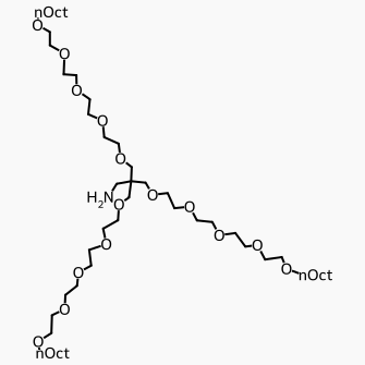 CCCCCCCCOCCOCCOCCOCCOCC(CN)(COCCOCCOCCOCCOCCCCCCCC)COCCOCCOCCOCCOCCCCCCCC